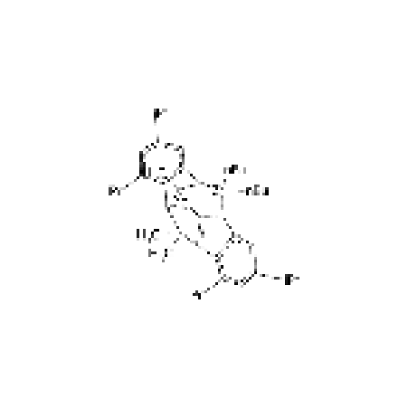 CCC[CH2][Zr]1([CH2]CCC)[CH]2C(C)=C(c3c(C(C)C)cc(C(C)C)cc32)C(C)(C)C2=C(C)[CH]1c1cc(C(C)C)cc(C(C)C)c12